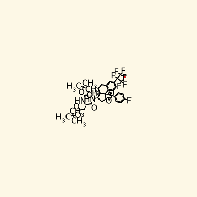 CC(C)(C)OC(=O)C[C@@H](NC(=O)OC(C)(C)C)C(=O)N[C@@H]1CC[C@@]2(S(=O)(=O)c3ccc(F)cc3)c3ccc(C(F)(C(F)(F)F)C(F)(F)F)cc3CC[C@@H]12